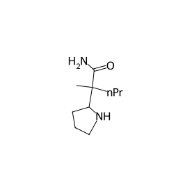 CCCC(C)(C(N)=O)C1CCCN1